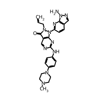 C=CCn1c(=O)c2cnc(Nc3ccc(N4CCN(C)CC4)cc3)nc2n1-c1ccc2cnn(N)c2n1